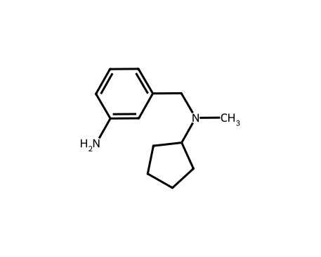 CN(Cc1cccc(N)c1)C1CCCC1